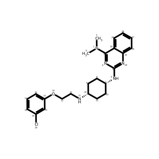 CN(C)c1nc(N[C@H]2CC[C@@H](NCCOc3cccc(Cl)c3)CC2)nc2ccccc12